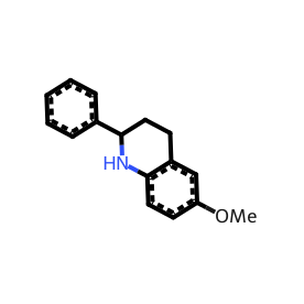 COc1ccc2c(c1)CCC(c1ccccc1)N2